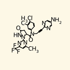 Cc1cc(C(F)(F)F)nc(N2NC(=O)CC2C(=O)N(CC#Cc2ncc(N)cn2)c2ccc(Cl)c(C)c2)n1